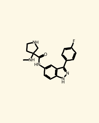 CNC1(C(=O)Nc2ccc3[nH]nc(-c4ccc(F)cc4)c3c2)CCNC1